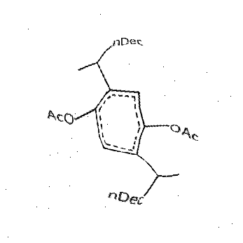 CCCCCCCCCCC(C)c1cc(OC(C)=O)c(C(C)CCCCCCCCCC)cc1OC(C)=O